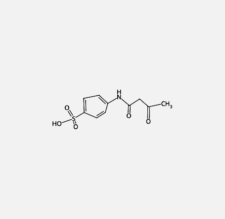 CC(=O)CC(=O)Nc1ccc(S(=O)(=O)O)cc1